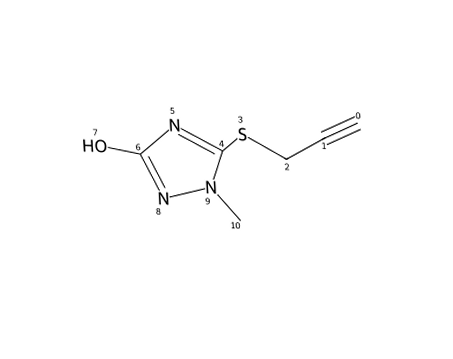 C#CCSc1nc(O)nn1C